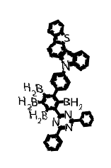 Bc1c(B)c(-c2ccc(-n3c4ccccc4c4c5sc6ccccc6c5ccc43)cc2)c(B)c(-c2nc(-c3ccccc3)nc(-c3ccccc3)n2)c1B